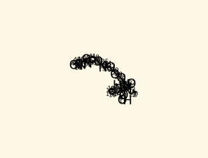 CC(C)C[C@H](NC(=O)[C@@H](OC=O)[C@H](N)Cc1ccccc1)C(=O)NCCOCCOCCOc1ccc(COc2ccc3oc(-c4ccc(=O)n(C)n4)nc3c2)nc1